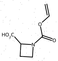 C=COC(=O)N1CCC1C(=O)O